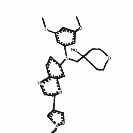 COc1cc(OC)cc(N(CC2(O)CCOCC2)c2ccc3ncc(-c4cnn(C)c4)nc3c2)c1